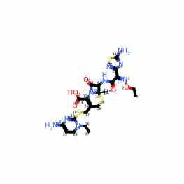 CCO/N=C(\C(=O)NC1C(=O)N2C(C(=O)O)=C(CSC3=NC(N)=CCN3CC)CS[C@@H]12)c1nsc(N)n1